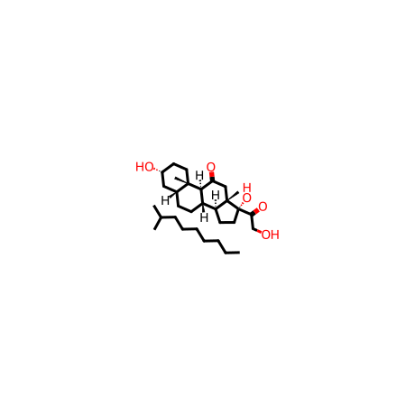 CCCCCCCC(C)C.C[C@]12CC[C@@H](O)C[C@H]1CC[C@@H]1[C@@H]2C(=O)C[C@@]2(C)[C@H]1CC[C@]2(O)C(=O)CO